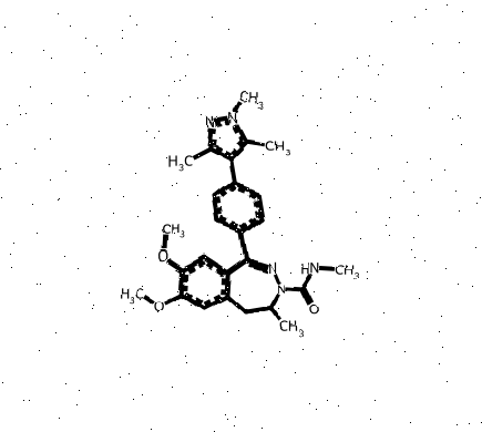 CNC(=O)N1N=C(c2ccc(-c3c(C)nn(C)c3C)cc2)c2cc(OC)c(OC)cc2CC1C